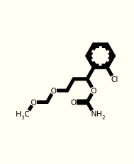 COCOCCC(OC(N)=O)c1ccccc1Cl